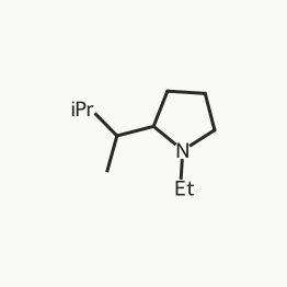 CCN1CCCC1C(C)C(C)C